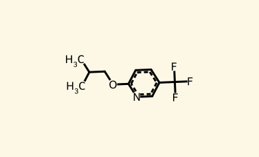 CC(C)COc1ccc(C(F)(F)F)cn1